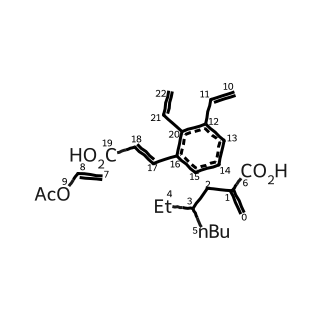 C=C(CC(CC)CCCC)C(=O)O.C=COC(C)=O.C=Cc1cccc(C=CC(=O)O)c1C=C